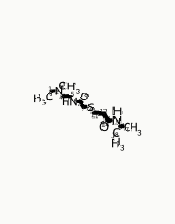 CCN(C)CCNC(=O)CSCCC(=O)NC(C)C